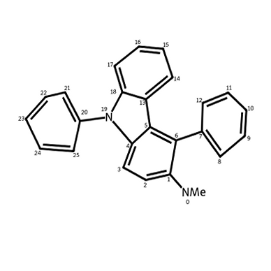 CNc1ccc2c(c1-c1ccccc1)c1ccccc1n2-c1ccccc1